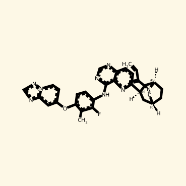 C=CC(=O)N1C[C@@H]2CC[C@@H]1C[C@H](c1ccc3ncnc(Nc4ccc(Oc5ccn6ncnc6c5)c(C)c4F)c3n1)C2